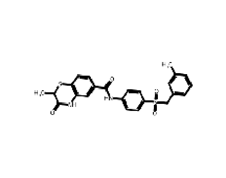 Cc1cccc(CS(=O)(=O)c2ccc(NC(=O)c3ccc4c(c3)NC(=O)C(C)S4)cc2)c1